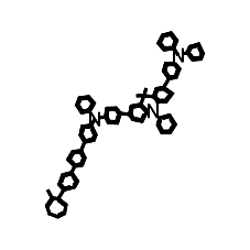 CC1=CCC=CC=C1c1ccc(-c2ccc(-c3ccc(N(c4ccccc4)c4ccc(-c5ccc6c(c5)C(C)(C)c5cc(-c7ccc(N(c8ccccc8)c8ccccc8)cc7)ccc5N6c5ccccc5)cc4)cc3)cc2)cc1